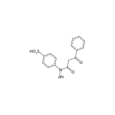 CCCN(C(=O)CC(=O)c1ccccc1)c1ccc(S(=O)(=O)O)cc1